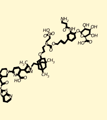 Cc1c(-c2ccc(N3CCc4cccc(C(=O)Nc5nc6cccnc6s5)c4C3)nc2C(=O)O)cnn1CC12CC3(C)CC(C)(C1)CC(OCCN(CCS(=O)(=O)O)C(=O)OCC=Cc1ccc(O[C@@H]4O[C@H](C(=O)O)[C@@H](O)[C@H](O)[C@H]4O)c(NC(=O)CCN)c1)(C3)C2